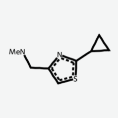 CNCc1csc(C2CC2)n1